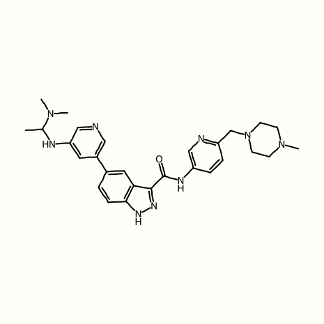 CC(Nc1cncc(-c2ccc3[nH]nc(C(=O)Nc4ccc(CN5CCN(C)CC5)nc4)c3c2)c1)N(C)C